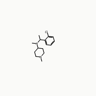 CC(c1ccccc1Cl)N(C)C1CCN(C)CC1